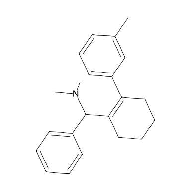 Cc1cccc(C2=C(C(c3ccccc3)N(C)C)CCCC2)c1